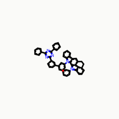 c1ccc(-c2nc(-c3ccccc3)nc(-c3cccc(-c4cccc(-n5c6ccccc6c6cc7c8c9c(cccc9n(-c9ccccc9)c8c65)CC7)c4)c3)n2)cc1